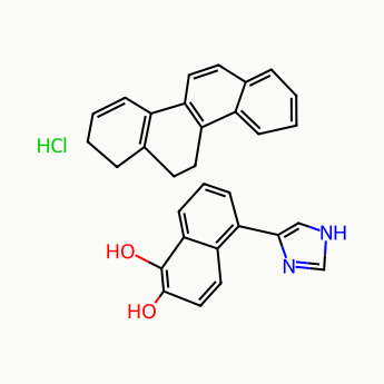 C1=CC2=C(CC1)CCc1c2ccc2ccccc12.Cl.Oc1ccc2c(-c3c[nH]cn3)cccc2c1O